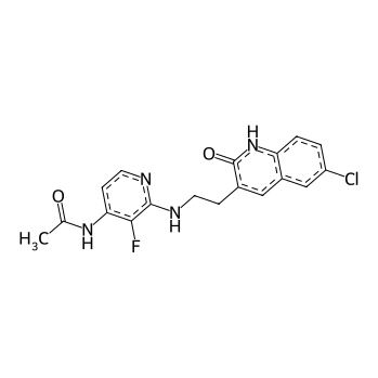 CC(=O)Nc1ccnc(NCCc2cc3cc(Cl)ccc3[nH]c2=O)c1F